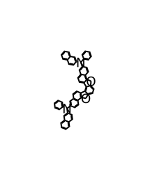 c1ccc(N(c2ccc3ccccc3c2)c2ccc3c(ccc4c3oc3ccc5oc6c7ccc(N(c8ccccc8)c8ccc9ccccc9c8)cc7ccc6c5c34)c2)cc1